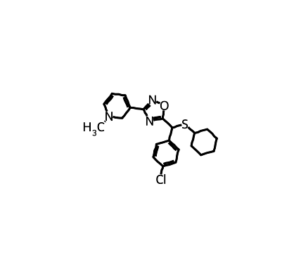 CN1C=CC=C(c2noc(C(SC3CCCCC3)c3ccc(Cl)cc3)n2)C1